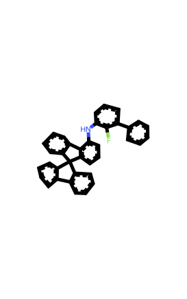 Fc1c(Nc2cccc3c2-c2ccccc2C32c3ccccc3-c3ccccc32)cccc1-c1ccccc1